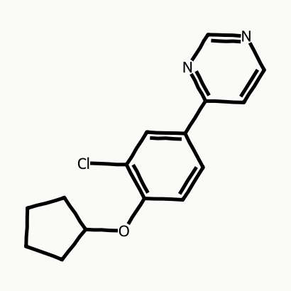 Clc1cc(-c2ccncn2)ccc1OC1CCCC1